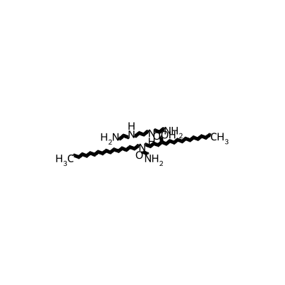 CCCCCCCCCCCCCCCCCCN(CCCCC(CCCCCCCCCCCCC)C(=O)O)C(=O)CN.NCCCNCCCCNCCCN